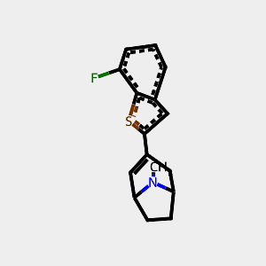 CN1C2C=C(c3cc4cccc(F)c4s3)CC1CC2